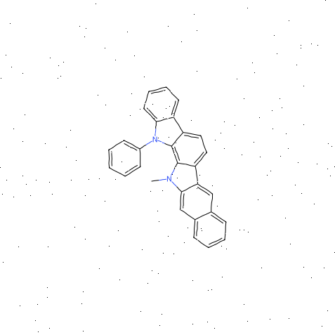 Cn1c2cc3ccccc3cc2c2ccc3c4ccccc4n(-c4ccccc4)c3c21